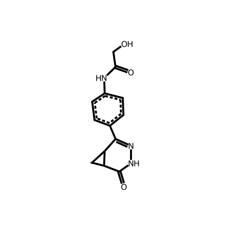 O=C(CO)Nc1ccc(C2=NNC(=O)C3CC23)cc1